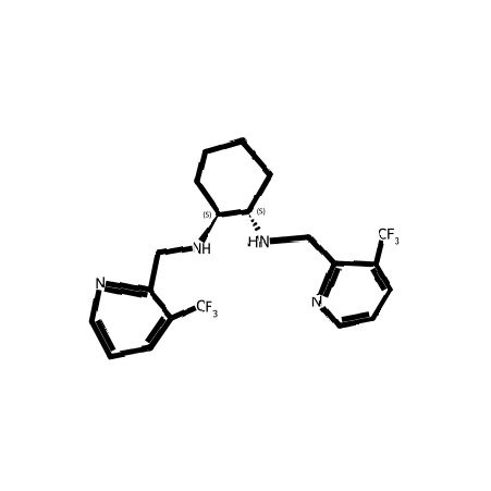 FC(F)(F)c1cccnc1CN[C@H]1CCCC[C@@H]1NCc1ncccc1C(F)(F)F